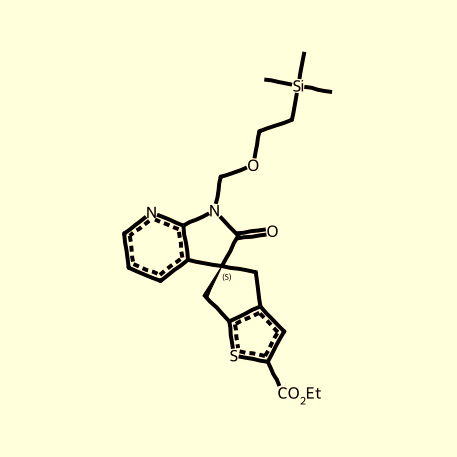 CCOC(=O)c1cc2c(s1)C[C@]1(C2)C(=O)N(COCC[Si](C)(C)C)c2ncccc21